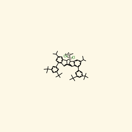 CC1=Cc2c(-c3cc(C(C)(C)C)cc(C(C)(C)C)c3)cc(C(C)C)cc2[CH]1[Zr]([Cl])([Cl])([CH]1C(C)=Cc2c(-c3cc(C(C)(C)C)cc(C(C)(C)C)c3)cc(C(C)C)cc21)[SiH](C)C